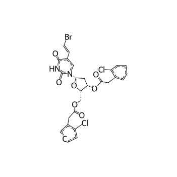 O=C(Cc1ccccc1Cl)OC[C@@H]1O[C@H](n2cc(/C=C/Br)c(=O)[nH]c2=O)CC1OC(=O)Cc1ccccc1Cl